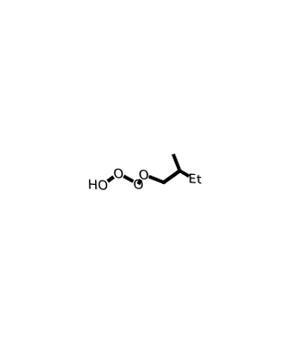 CCC(C)COOOO